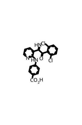 N=C(C(=O)c1c(Cl)cccc1Cl)c1cccnc1Nc1ccc(C(=O)O)cc1